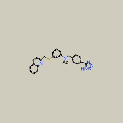 CC(=O)N(Cc1ccc(-c2nnn[nH]2)cc1)c1cccc(SCc2ccc3ccccc3n2)c1